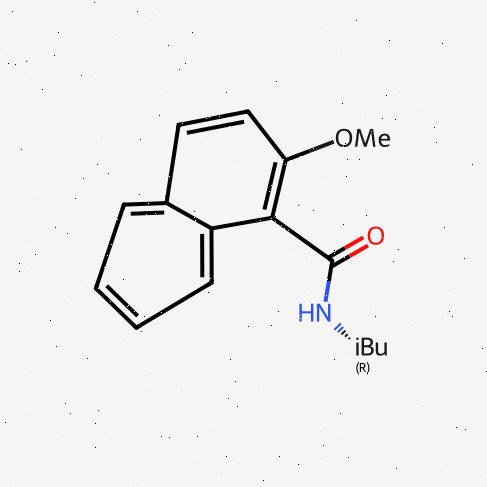 CC[C@@H](C)NC(=O)c1c(OC)ccc2ccccc12